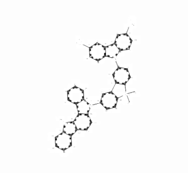 C[Si]1(C)c2ccc(-n3c4ccc(C#N)cc4c4cc(C#N)ccc43)cc2-c2cc(-n3c4ccccc4c4c5oc6ccccc6c5ccc43)ccc21